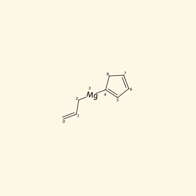 C=C[CH2][Mg][C]1=CC=CC1